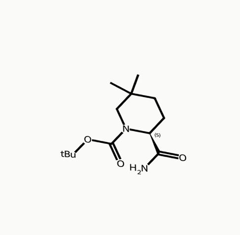 CC1(C)CC[C@@H](C(N)=O)N(C(=O)OC(C)(C)C)C1